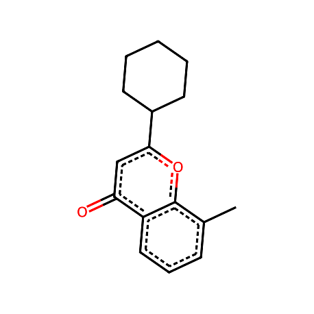 Cc1cccc2c(=O)cc(C3CCCCC3)oc12